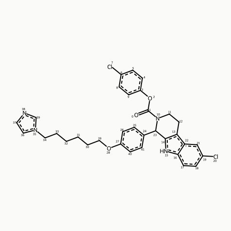 O=C(Oc1ccc(Cl)cc1)N1CCc2c([nH]c3ccc(Cl)cc23)C1c1ccc(OCCCCCCn2ccnc2)cc1